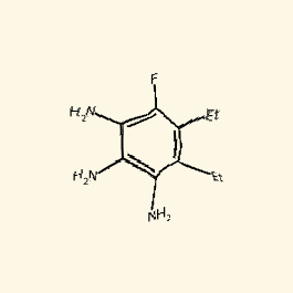 CCc1c(N)c(N)c(N)c(F)c1CC